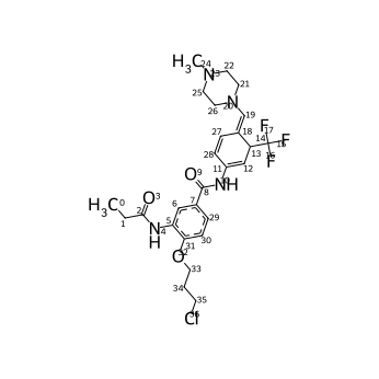 CCC(=O)Nc1cc(C(=O)NC2=CC(C(F)(F)F)C(=CN3CCN(C)CC3)C=C2)ccc1OCCCCl